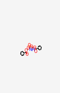 [NH]P(=O)(OCOC(=O)c1ccccc1)OCOC(=O)c1ccccc1